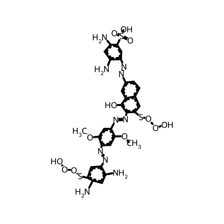 COc1cc(N=Nc2c(SOOO)cc3ccc(N=Nc4cc(S(=O)(=O)O)c(N)cc4N)cc3c2O)c(OC)cc1N=Nc1cc(SOOO)c(N)cc1N